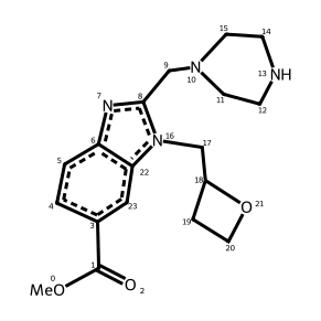 COC(=O)c1ccc2nc(CN3CCNCC3)n(CC3CCO3)c2c1